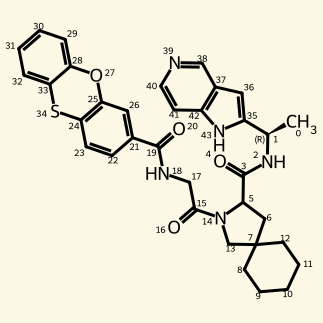 C[C@@H](NC(=O)C1CC2(CCCCC2)CN1C(=O)CNC(=O)c1ccc2c(c1)Oc1ccccc1S2)c1cc2cnccc2[nH]1